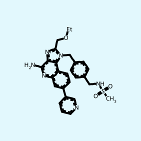 CCOCc1nc2c(N)nc3cc(-c4cccnc4)ccc3c2n1Cc1ccc(CNS(C)(=O)=O)cc1